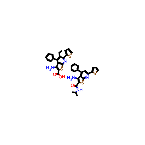 CC(C)NC(=O)c1sc2nc(-c3cccs3)cc(-c3ccccc3)c2c1N.CCc1c(-c2cccs2)nc2sc(C(=O)O)c(N)c2c1-c1ccccc1